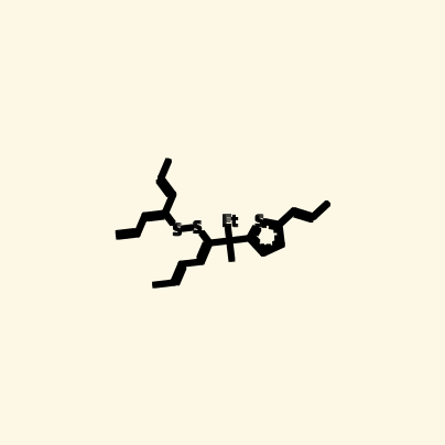 C=C/C=C(/C=C/C)SS/C(=C\C=C\C)C(C)(CC)c1ccc(/C=C/C)s1